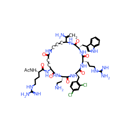 C=C(N)C1CCCNC(=O)CC[C@H](NC(=O)[C@H](CCCNC(=N)N)NC(C)=O)C(=O)N[C@@H](CCN)C(=O)N[C@H](Cc2ccc(Cl)cc2Cl)C(=O)N[C@@H](CCCNC(=N)N)C(=O)N[C@@H](Cc2c[nH]c3ccccc23)C(=O)N1